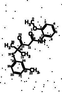 COc1ccccc1NC(=O)CC(=O)C(C)(C)Sc1cccc(C)c1